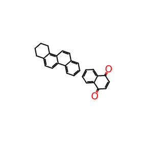 O=C1C=CC(=O)c2ccccc21.c1ccc2c(c1)ccc1c3c(ccc12)CCCC3